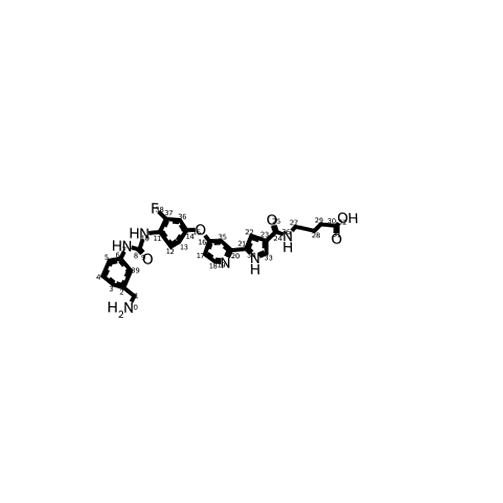 NCc1cccc(NC(=O)Nc2ccc(Oc3ccnc(-c4cc(C(=O)NCCCC(=O)O)c[nH]4)c3)cc2F)c1